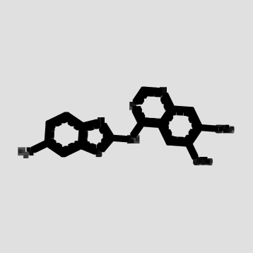 COc1cc2ncnc(Nc3nc4ccc(N)cc4s3)c2cc1OC